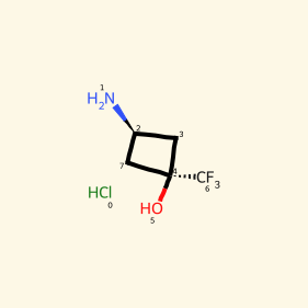 Cl.N[C@H]1C[C@](O)(C(F)(F)F)C1